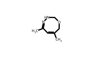 C/C1=C/C(C)=N\NCOC1